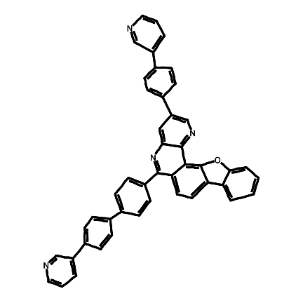 c1cncc(-c2ccc(-c3ccc(-c4nc5cc(-c6ccc(-c7cccnc7)cc6)cnc5c5c4ccc4c6ccccc6oc45)cc3)cc2)c1